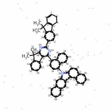 CC1(C)C2=C(CCC=C2)c2ccc(-c3nc(-c4ccc(-n5c6cc7ccccc7cc6c6c7ccccc7ccc65)c5ccccc45)c4c(n3)C(C)(C)c3ccccc3-4)cc21